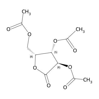 CC(=O)OC[C@H]1OC(=O)[C@H](OC(C)=O)[C@H]1OC(C)=O